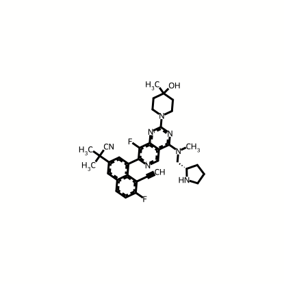 C#Cc1c(F)ccc2cc(C(C)(C)C#N)cc(-c3ncc4c(N(C)C[C@@H]5CCCN5)nc(N5CCC(C)(O)CC5)nc4c3F)c12